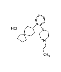 CCCN1CCN(c2ccccc2C2CCC3(CCCC3)CC2)CC1.Cl